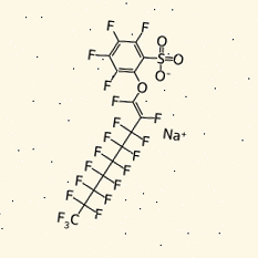 O=S(=O)([O-])c1c(F)c(F)c(F)c(F)c1OC(F)=C(F)C(F)(F)C(F)(F)C(F)(F)C(F)(F)C(F)(F)C(F)(F)C(F)(F)F.[Na+]